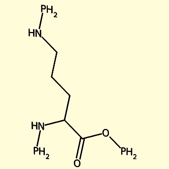 O=C(OP)C(CCCNP)NP